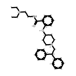 CCN(CC)CCNC(=O)c1ccccc1OC1CCN(CC(c2ccccc2)c2ccccc2)CC1